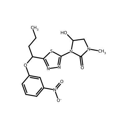 CCCC(Oc1cccc([N+](=O)[O-])c1)c1nnc(N2C(=O)N(C)CC2O)s1